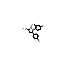 O=C(O)C1CC(c2ccc(Cl)cc2)N(c2ccc(Cl)cc2Cl)N1